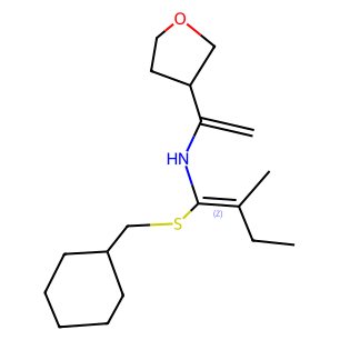 C=C(N/C(SCC1CCCCC1)=C(\C)CC)C1CCOC1